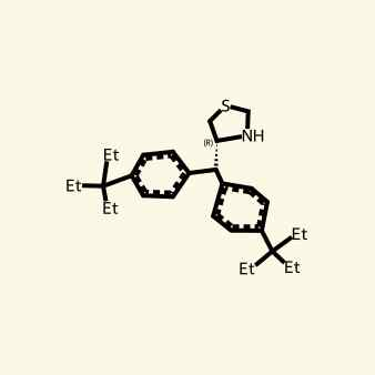 CCC(CC)(CC)c1ccc(C(c2ccc(C(CC)(CC)CC)cc2)[C@@H]2CSCN2)cc1